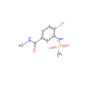 CNC(=O)c1ccc(Cl)c(NS(C)(=O)=O)c1